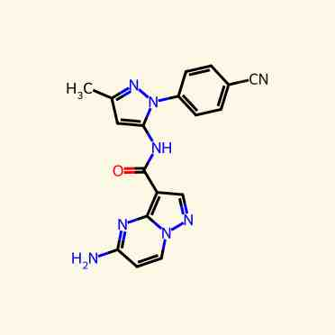 Cc1cc(NC(=O)c2cnn3ccc(N)nc23)n(-c2ccc(C#N)cc2)n1